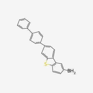 Bc1ccc2sc3cc(-c4ccc(-c5ccccc5)cc4)ccc3c2c1